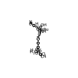 CC(C)(C)C(NC(=O)COCCN1CCC(c2ccc(-c3ccc(N4C(=S)N(c5ccc(C#N)c(Cl)c5)C(=O)C4(C)C)cc3)cc2)CC1)C(=O)N1C[C@H](O)C[C@H]1C(=O)NCc1ccc(-c2cnco2)cc1